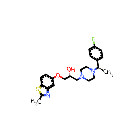 Cc1nc2cc(OC[C@H](O)CN3C[CH]N([C@H](C)c4ccc(F)cc4)CC3)ccc2s1